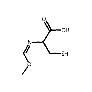 CO/C=N\C(CS)C(=O)O